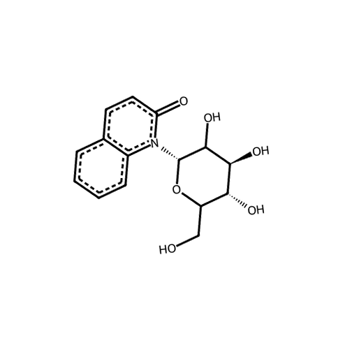 O=c1ccc2ccccc2n1[C@H]1OC(CO)[C@@H](O)[C@H](O)C1O